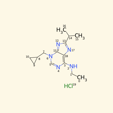 CCNc1ncn(CC2CC2)c2nc(C(C)C)nc1-2.Cl